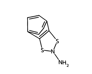 NN1Sc2c(c3ccc2cc3)S1